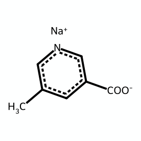 Cc1cncc(C(=O)[O-])c1.[Na+]